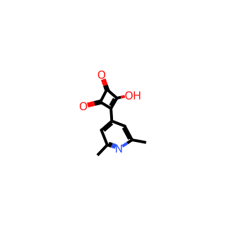 Cc1cc(-c2c(O)c(=O)c2=O)cc(C)n1